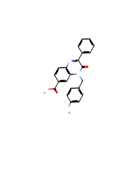 COC(=O)c1ccc2nc(-c3ccccc3)c(=O)n(Cc3ccc(OC)cc3)c2c1